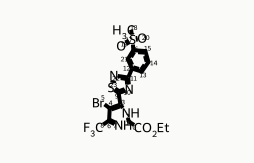 CCOC(=O)CN/C(=C(/Br)C(=N)C(F)(F)F)c1nc(-c2cccc(S(C)(=O)=O)c2)ns1